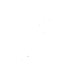 COC(=O)c1cncc(COC(=O)Nc2ncc(-c3noc(C(F)(F)F)n3)cc2C)c1